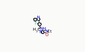 CCN1Cc2c(ccnc2NC(C)c2ccc(-c3ccnc4ccccc34)c(F)c2)C1=O